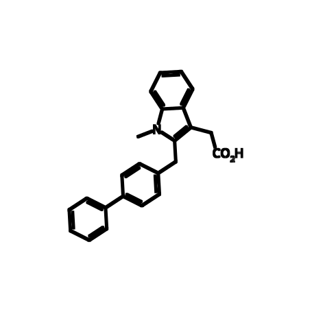 Cn1c(Cc2ccc(-c3ccccc3)cc2)c(CC(=O)O)c2ccccc21